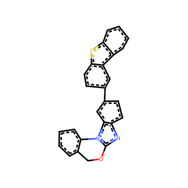 c1ccc2c(c1)COc1nc3ccc(-c4ccc5sc6ccccc6c5c4)cc3n1-2